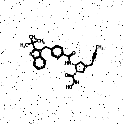 CC#CCN1C[C@H](C(=O)NO)[C@H](NC(=O)c2ccc(Cn3c(C(C)(C)C)nc4ccccc43)cc2)C1